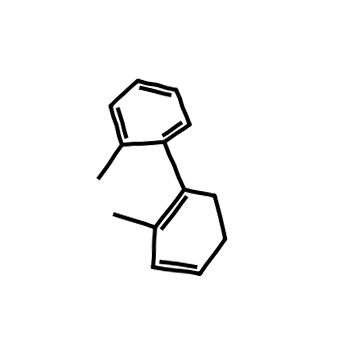 CC1=C(c2ccccc2C)CCC=C1